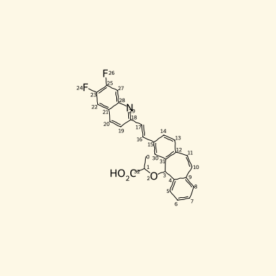 CC(OC1c2ccccc2C=Cc2ccc(C=Cc3ccc4cc(F)c(F)cc4n3)cc21)C(=O)O